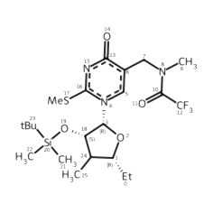 CC[C@H]1O[C@@H](n2cc(CN(C)C(=O)C(F)(F)F)c(=O)nc2SC)[C@@H](O[Si](C)(C)C(C)(C)C)C1C